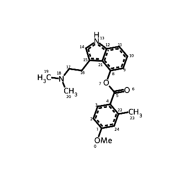 COc1ccc(C(=O)Oc2cccc3[nH]cc(CCN(C)C)c23)c(C)c1